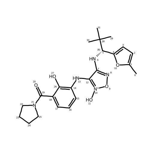 Cc1ccc([C@H](Nc2no[n+](O)c2Nc2cccc(C(=O)N3CCCC3)c2O)C(C)(C)C)o1